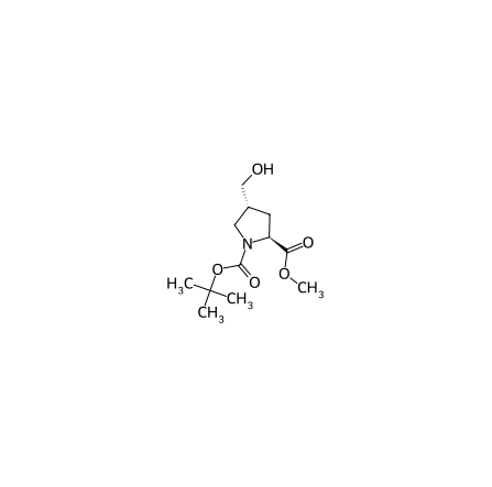 COC(=O)[C@@H]1C[C@@H](CO)CN1C(=O)OC(C)(C)C